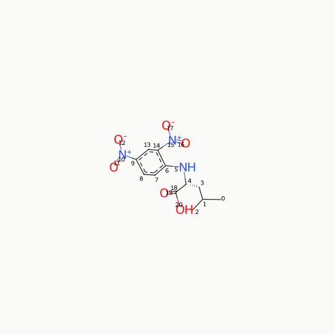 CC(C)C[C@@H](Nc1ccc([N+](=O)[O-])cc1[N+](=O)[O-])C(=O)O